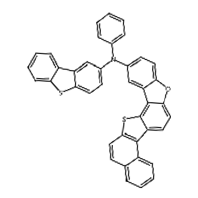 c1ccc(N(c2ccc3sc4ccccc4c3c2)c2ccc3oc4ccc5c(sc6ccc7ccccc7c65)c4c3c2)cc1